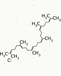 CC(C)=CCCC(C)=CCCC(C)=CCCC=C(C)CCC=C(C)CCC=C(C)C.[C]